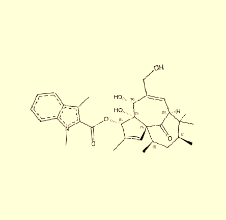 CC1=C[C@]23C(=O)[C@@H](C=C(CO)[C@@H](O)[C@]2(O)[C@H]1OC(=O)c1c(C)c2ccccc2n1C)C(C)(C)[C@@H](C)C[C@H]3C